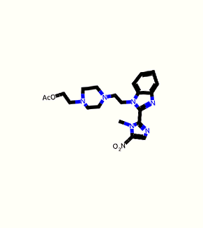 CC(=O)OCCN1CCN(CCn2c(-c3ncc([N+](=O)[O-])n3C)nc3ccccc32)CC1